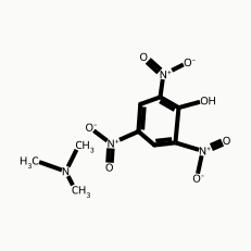 CN(C)C.O=[N+]([O-])c1cc([N+](=O)[O-])c(O)c([N+](=O)[O-])c1